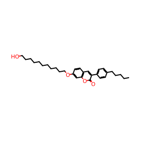 CCCCCc1ccc(-c2cc3ccc(OCCCCCCCCCCCO)cc3oc2=O)cc1